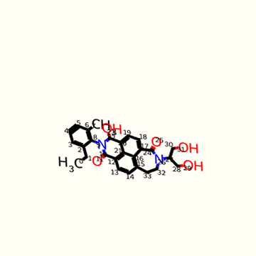 CCc1cc#cc(C)c1N1C(=O)c2ccc3c4c(ccc(c24)C1O)C(=O)N(C(CO)CO)CC3